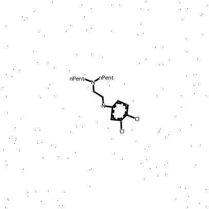 CCCCCN([CH]C[N]c1ccc(Cl)c(Cl)c1)CCCCC